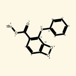 CC(C)(C)OC(=O)c1ccc2ooc2c1Sc1ccccc1